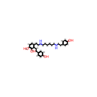 Oc1ccc(CCNCCCCCCNCCc2ccc(O)c(O)c2CCc2ccc(O)cc2)cc1